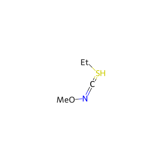 CC[SH]=C=NOC